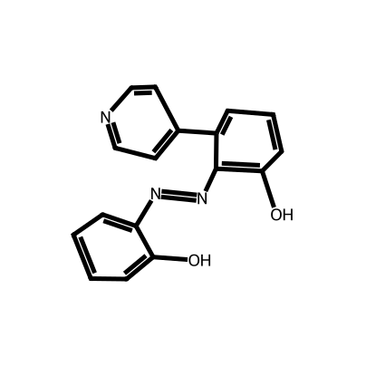 Oc1ccccc1N=Nc1c(O)cccc1-c1ccncc1